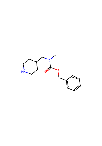 CN(CC1CCNCC1)C(=O)OCc1ccccc1